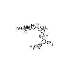 COC(=O)c1cc2cc(NCc3cc(NC(=S)c4cc(-n5cnc(C)c5)cc(C(F)(F)F)c4)ccc3C)cnc2[nH]1